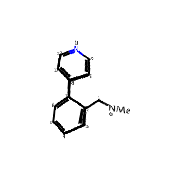 CNCc1ccccc1-c1ccncc1